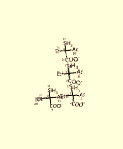 CCC([SiH3])(C(C)=O)C(=O)[O-].CCC([SiH3])(C(C)=O)C(=O)[O-].CCC([SiH3])(C(C)=O)C(=O)[O-].CCC([SiH3])(C(C)=O)C(=O)[O-].[Ti+4]